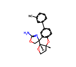 C[C@@]12CCO[C@@H]1C1(COC(N)=N1)c1cc(-c3cccc(C#N)c3)ccc1O2